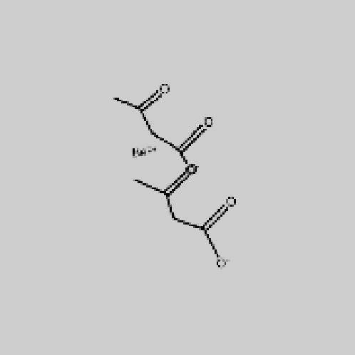 CC(=O)CC(=O)[O-].CC(=O)CC(=O)[O-].[Be+2]